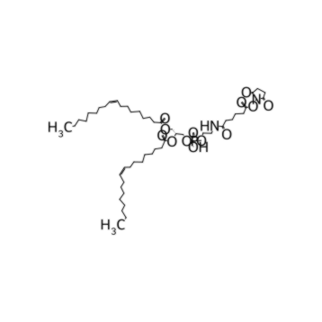 CCCCCCCC/C=C\CCCCCCCC(=O)OC[C@H](COP(=O)(O)OCCNC(=O)CCCCC(=O)ON1C(=O)CCC1=O)OC(=O)CCCCCCC/C=C\CCCCCCCC